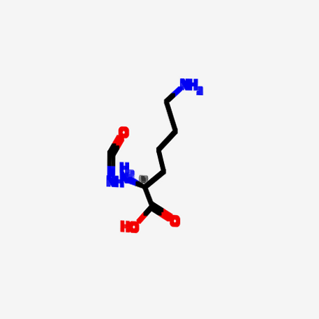 N=C=O.NCCCC[C@H](N)C(=O)O